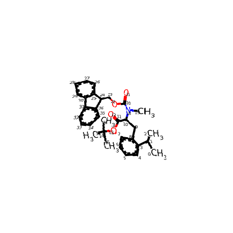 CC(C)c1ccccc1CC(C(=O)OC(C)(C)C)N(C)C(=O)OCC1c2ccccc2-c2ccccc21